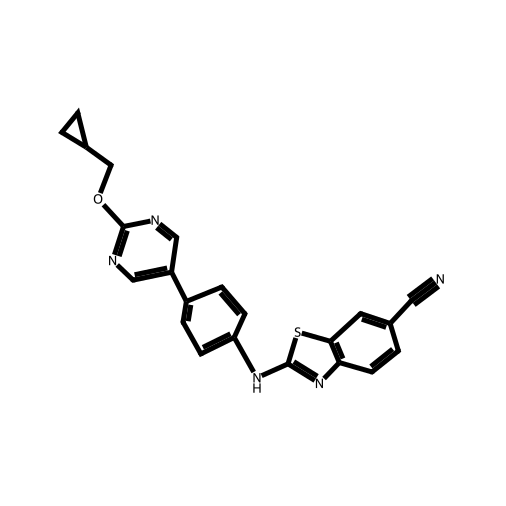 N#Cc1ccc2nc(Nc3ccc(-c4cnc(OCC5CC5)nc4)cc3)sc2c1